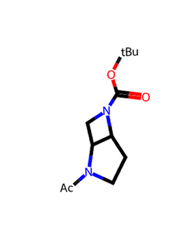 CC(=O)N1CCC2C1CN2C(=O)OC(C)(C)C